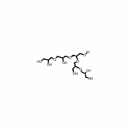 CCOCC(COCC(O)COCC(O)CO)OCC(CO)OCC(O)CO